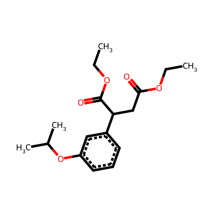 CCOC(=O)CC(C(=O)OCC)c1cccc(OC(C)C)c1